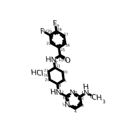 CNc1ccnc(NC2CCC(NC(=O)c3ccc(F)c(F)c3)CC2)n1.Cl